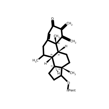 C=C1C(=C)[C@@]2(C)C(=CC1=O)CC(C)[C@@H]1[C@H]2CC[C@]2(C)C(OCCCCC)CC[C@@H]12